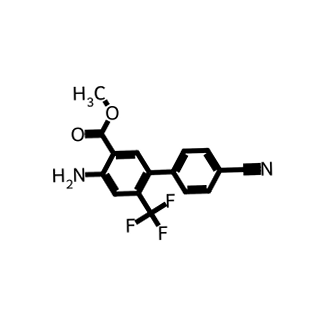 COC(=O)c1cc(-c2ccc(C#N)cc2)c(C(F)(F)F)cc1N